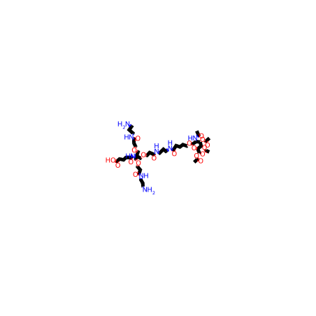 CC(=O)NC1C(OC(C)=O)[C@@H](OC(C)=O)C(COC(C)=O)O[C@H]1OCCCCC(=O)NCCCNC(=O)CCOCC(COCCC(=O)NCCCN)(COCCC(=O)NCCCN)NC(=O)CCCC(=O)O